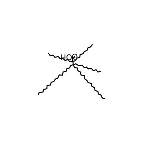 CCCCCCCCCCCCCCCCCCC(CCCCCCCCCCC)(CCCCCCCCCCCCCCCCCC)C(CCCCCCCCCC)(CCCCCCCCCC)C(=O)O